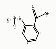 O=C(O)c1ccccc1O.[Cl][Zn].[Zn]